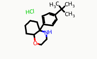 CC(C)(C)c1ccc(C23CCCCC2OCCN3)cc1.Cl